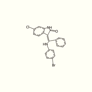 O=C1Nc2cc(Cl)ccc2C1=C(Nc1ccc(Br)cc1)c1ccccc1